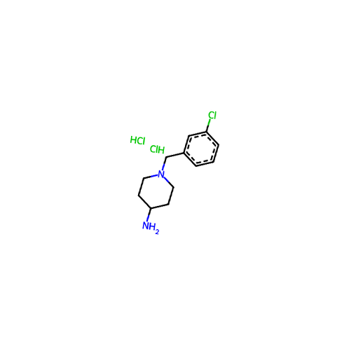 Cl.Cl.NC1CCN(Cc2cccc(Cl)c2)CC1